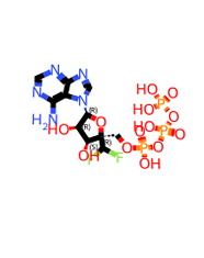 Nc1ncnc2ncn([C@@H]3O[C@@](COP(=O)(O)OP(=O)(O)OP(=O)(O)O)(C(F)F)[C@@H](O)[C@H]3O)c12